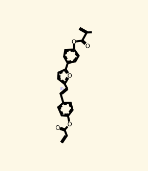 C=CC(=O)Oc1ccc(/C=C/c2ccc(-c3ccc(OC(=O)C(=C)C)cc3)o2)cc1